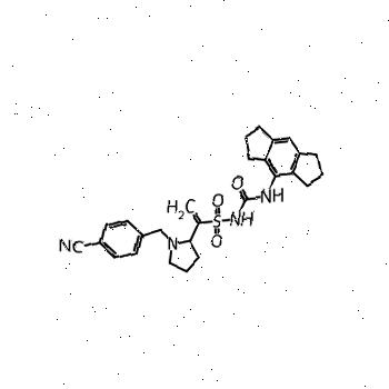 C=C(C1CCCN1Cc1ccc(C#N)cc1)S(=O)(=O)NC(=O)Nc1c2c(cc3c1CCC3)CCC2